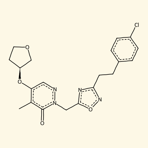 Cc1c(O[C@H]2CCOC2)cnn(Cc2nc(CCc3ccc(Cl)cc3)no2)c1=O